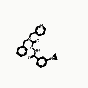 O=C(NOC(=O)N(Cc1ccccc1)Cc1cccnc1)c1cccc(N2C=C2)c1